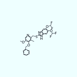 COc1cnc(CSc2nc3cc(OC(F)F)c(OC(F)F)cc3[nH]2)c(C)c1OCc1ccccc1